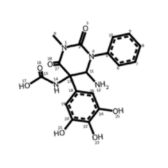 CN1C(=O)N(c2ccccc2)C(N)C(NC(=O)O)(c2cc(O)c(O)c(O)c2)C1=O